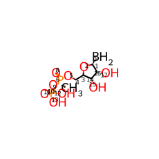 B[C@@H]1OC(COP(C)(=O)OP(=O)(O)O)[C@@H](O)[C@H]1O